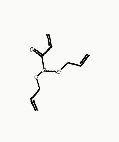 C=CCO[Si](OCC=C)C(=O)C=C